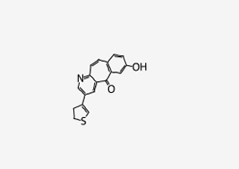 O=c1c2cc(O)ccc2ccc2ncc(C3=CSCC3)cc12